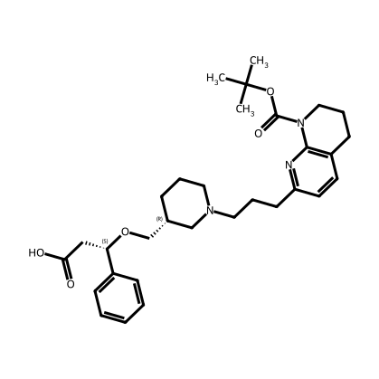 CC(C)(C)OC(=O)N1CCCc2ccc(CCCN3CCC[C@@H](CO[C@@H](CC(=O)O)c4ccccc4)C3)nc21